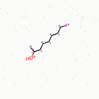 OC(I)CCCCCCI